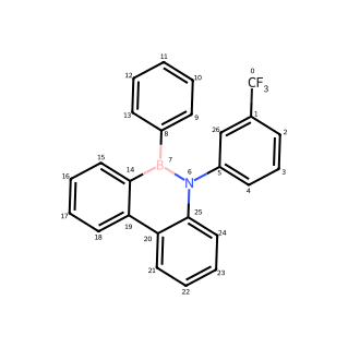 FC(F)(F)c1cccc(N2B(c3ccccc3)c3ccccc3-c3ccccc32)c1